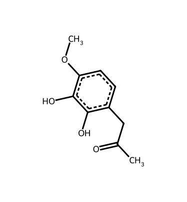 COc1ccc(CC(C)=O)c(O)c1O